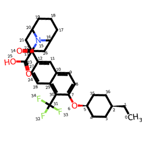 CC[C@H]1CC[C@@H](Oc2ccc3cc(C(=O)N4C5CCCC4CC(C(=O)O)C5)ccc3c2C(F)(F)F)CC1